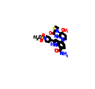 CS(=O)(=O)N1CC=C(c2cc3c(N4CC[C@@H](O)[C@H](N5C=CSC5C(N)=O)C4)ccc(C(N)=O)c3[nH]2)CC1